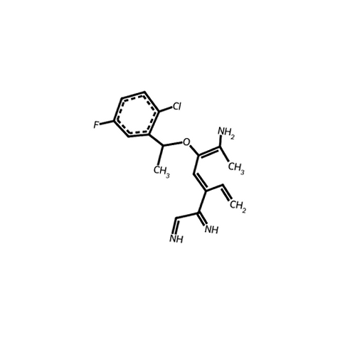 C=C/C(=C\C(OC(C)c1cc(F)ccc1Cl)=C(/C)N)C(=N)C=N